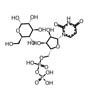 O=c1ccn([C@@H]2O[C@H](COP(=O)(O)OP(=O)(O)O)[C@@H](O)[C@H]2O)c(=O)[nH]1.OC[C@H]1O[C@H](O)[C@H](O)[C@@H](O)[C@@H]1O